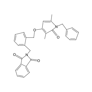 Cc1c(OCc2ccccc2CN2C(=O)c3ccccc3C2=O)cc(C)n(Cc2ccccc2)c1=O